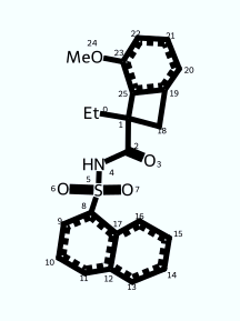 CCC1(C(=O)NS(=O)(=O)c2cccc3ccccc23)Cc2cccc(OC)c21